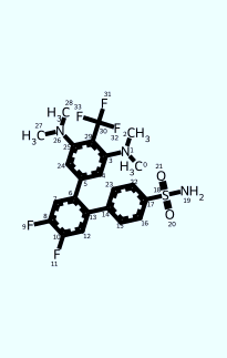 CN(C)c1cc(-c2cc(F)c(F)cc2-c2ccc(S(N)(=O)=O)cc2)cc(N(C)C)c1C(F)(F)F